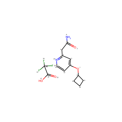 NC(=O)Cc1cc(OC2CCC2)ccn1.O=C(O)C(F)(F)F